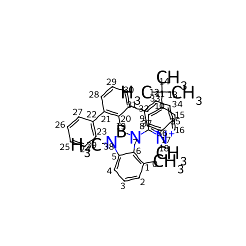 Cc1cccc2c1N(c1cc(C(C)(C)C)cc[n+]1C)B(c1c(-c3ccccc3)cccc1-c1ccccc1)N2C